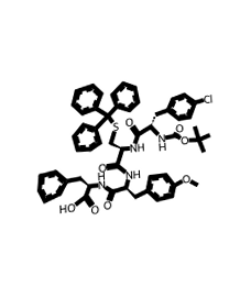 COc1ccc(C[C@H](NC(=O)[C@@H](CSC(c2ccccc2)(c2ccccc2)c2ccccc2)NC(=O)[C@H](Cc2ccc(Cl)cc2)NC(=O)OC(C)(C)C)C(=O)N[C@H](Cc2ccccc2)C(=O)O)cc1